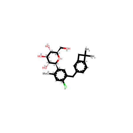 BC1(B)Cc2cc(Cc3cc([C@@H]4O[C@H](CO)[C@@H](O)[C@H](O)[C@H]4O)c(OC)cc3Cl)ccc21